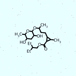 CCC(CC)COC(=O)C1C(C)C1CCC(C)OC1OC(C)C(O)CC1O